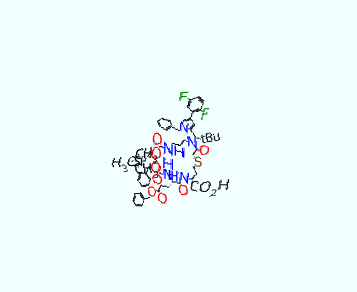 CC(C)(C)[C@H](c1cc(-c2cc(F)ccc2F)cn1Cc1ccccc1)N(CCCNC(=O)OCC[Si](C)(C)C)C(=O)CSCCC(NC(=O)[C@H](CCC(=O)OCc1ccccc1)NC(=O)OCc1ccccc1)C(=O)O